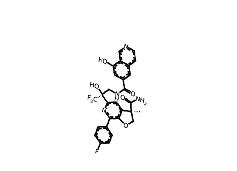 C[C@]1(C(N)=O)COc2c1cc([C@@](O)(CNC(=O)c1cc(O)c3cnccc3c1)C(F)(F)F)nc2-c1ccc(F)cc1